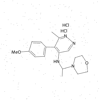 COc1ccc(-c2c(NC(C)N3CCOCC3)cnnc2C)cc1.Cl.Cl